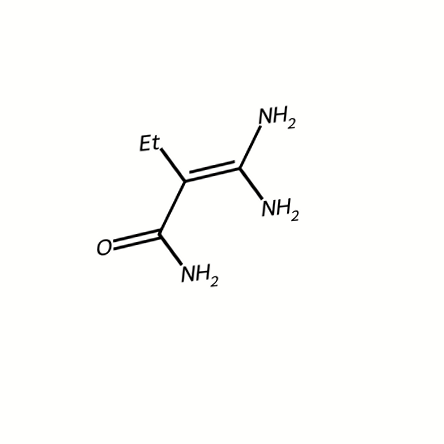 CCC(C(N)=O)=C(N)N